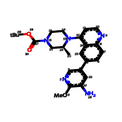 COc1ncc(-c2ccc3nccc(N4CCN(C(=O)OC(C)(C)C)C[C@@H]4C)c3c2)cc1N